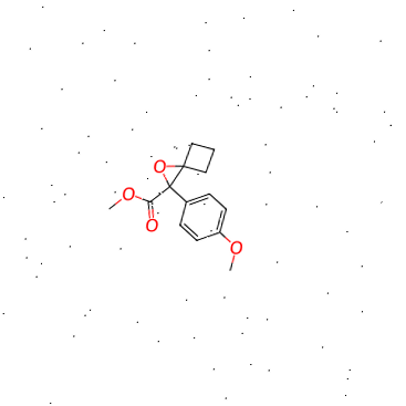 COC(=O)C1(c2ccc(OC)cc2)OC12CCC2